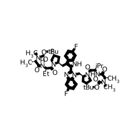 CC[C@H](NC(=O)[C@H](C)N(C)C(=O)OC(C)(C)C)C(=O)N1C[C@@H](F)C[C@H]1Cc1c(-c2nc3cc(F)ccc3n2C[C@@H]2CCCN2C(=O)[C@@H](NC(=O)[C@H](C)N(C)C(=O)OC(C)(C)C)C(C)C)[nH]c2cc(F)ccc12